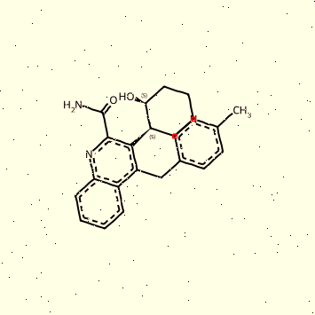 Cc1ccc(Cc2c([C@@H]3CCCC[C@@H]3O)c(C(N)=O)nc3ccccc23)cn1